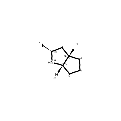 I[C@@H]1C[C@@H]2CCC[C@@H]2N1